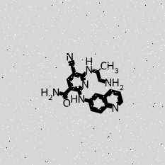 C[C@H](CN)Nc1nc(Nc2ccc3ncccc3c2)c(C(N)=O)cc1C#N